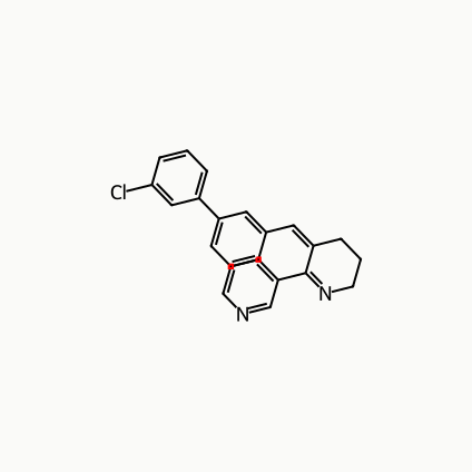 Clc1cccc(-c2cccc(/C=C3/CCCN=C3c3cccnc3)c2)c1